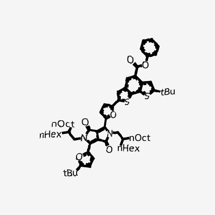 CCCCCCCCC(CCCCCC)CN1C(=O)C2=C(c3ccc(C(C)(C)C)o3)N(CC(CCCCCC)CCCCCCCC)C(=O)C2=C1c1ccc(-c2cc3cc(C(=O)Oc4ccccc4)c4cc(C(C)(C)C)sc4c3s2)o1